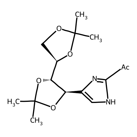 CC(=O)c1nc([C@H]2OC(C)(C)O[C@@H]2[C@H]2COC(C)(C)O2)c[nH]1